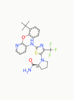 CC(C)(C)c1ccccc1Oc1ncccc1Nc1nc(C(F)(F)F)c(N2CCC[C@H]2C(N)=O)s1